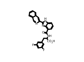 O=C(NC(Cc1cc(F)cc(F)c1)C(=O)O)c1cccc2[nH]c(-c3cc4ccccc4cn3)nc12